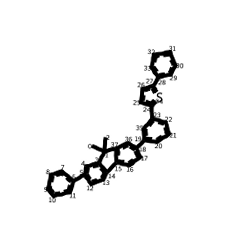 CC1(C)c2cc(-c3ccccc3)ccc2-c2ccc(-c3cccc(-c4ccc(-c5ccccc5)s4)c3)cc21